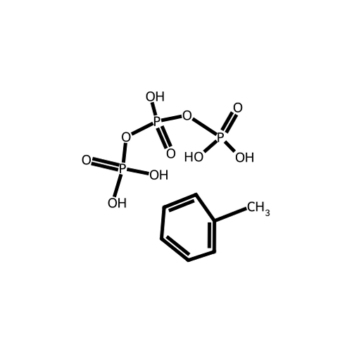 Cc1ccccc1.O=P(O)(O)OP(=O)(O)OP(=O)(O)O